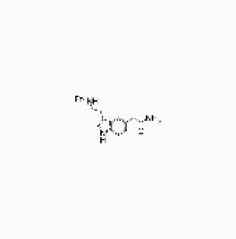 CCNCCc1c[nH]c2ccc(CC(N)=O)cc12